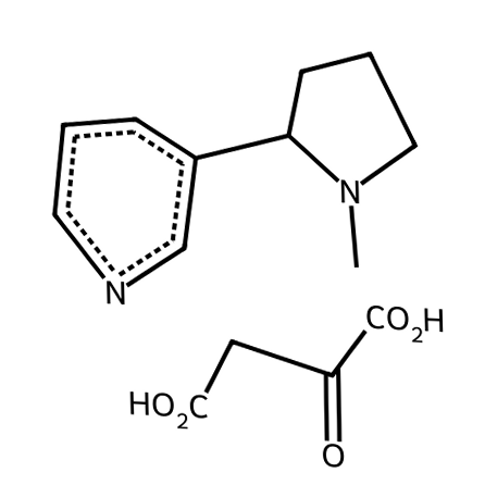 CN1CCCC1c1cccnc1.O=C(O)CC(=O)C(=O)O